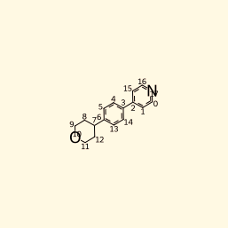 c1cc(-c2ccc(C3CCOCC3)cc2)ccn1